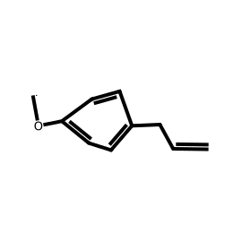 [CH2]Oc1ccc(CC=C)cc1